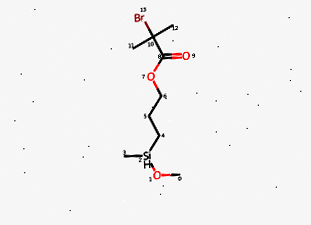 CO[SiH](C)CCCOC(=O)C(C)(C)Br